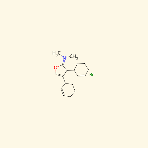 C[N+](C)=C1OC=C(C2C=CCCC2)C1C1C=CCCC1.[Br-]